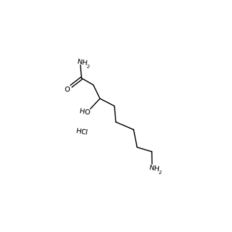 Cl.NCCCCCC(O)CC(N)=O